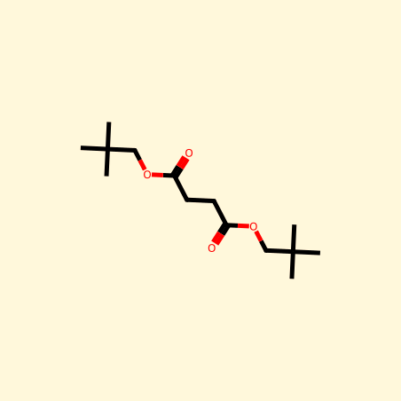 CC(C)(C)COC(=O)CCC(=O)OCC(C)(C)C